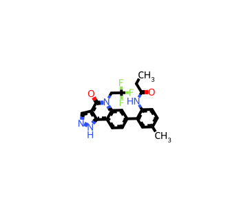 CCC(=O)Nc1ccc(C)cc1-c1ccc2c3[nH]ncc3c(=O)n(CC(F)(F)F)c2c1